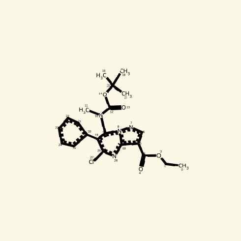 CCOC(=O)c1cnn2c(N(C)C(=O)OC(C)(C)C)c(-c3ccccc3)c(Cl)nc12